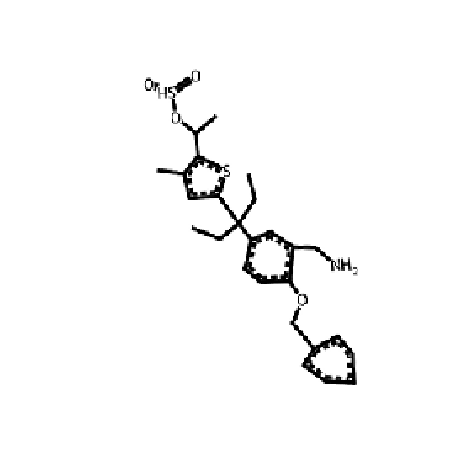 CCC(CC)(c1ccc(OCc2ccccc2)c(CN)c1)c1cc(C)c(C(C)O[SH](=O)=O)s1